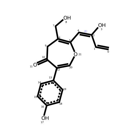 C=C/C(O)=C\C1=C(CO)CC(=O)C(c2ccc(O)cc2)=CO1